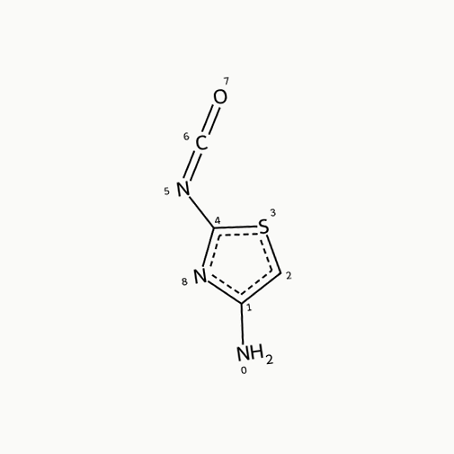 Nc1csc(N=C=O)n1